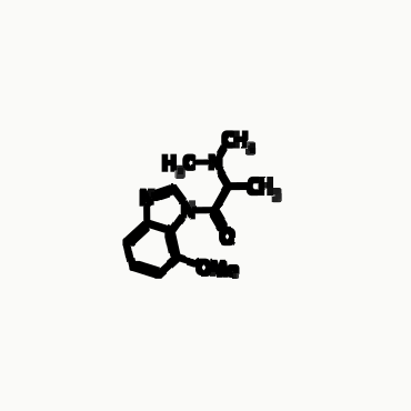 COc1cccc2ncn(C(=O)C(C)N(C)C)c12